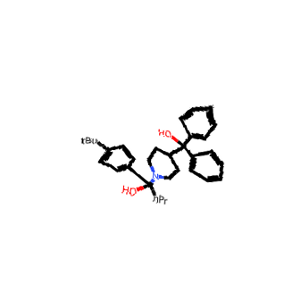 CCCC(O)(c1ccc(C(C)(C)C)cc1)N1CCC(C(O)(c2ccccc2)c2ccccc2)CC1